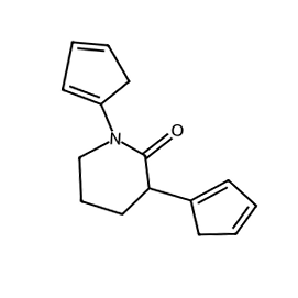 O=C1C(C2=CC=CC2)CCCN1C1=CC=CC1